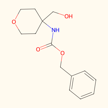 O=C(NC1(CO)CCOCC1)OCc1ccccc1